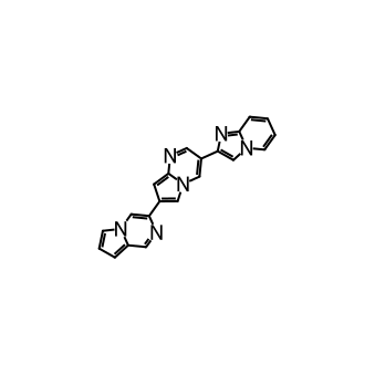 c1ccn2cc(-c3cnc4cc(-c5cn6cccc6cn5)cn4c3)nc2c1